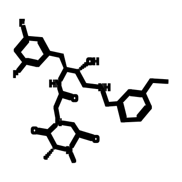 CCc1cccc(CNC[C@@H](O)[C@H](Cc2cc(F)cc(F)c2)NC(=O)CN2CC(=O)N(C)[C@H](C)C2=O)c1